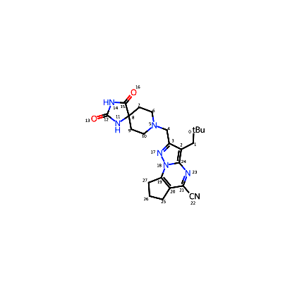 CC(C)(C)Cc1c(CN2CCC3(CC2)NC(=O)NC3=O)nn2c3c(c(C#N)nc12)CCC3